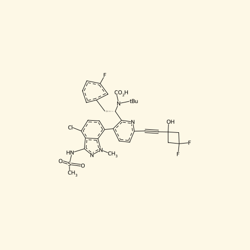 Cn1nc(NS(C)(=O)=O)c2c(Cl)ccc(-c3ccc(C#CC4(O)CC(F)(F)C4)nc3[C@H](Cc3cccc(F)c3)N(C(=O)O)C(C)(C)C)c21